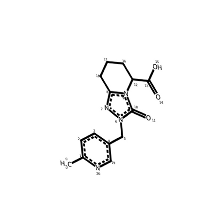 Cc1ccc(Cn2nc3n(c2=O)C(C(=O)O)CCC3)cn1